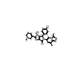 Cc1cc(N2C(=O)c3nc(C4=CCCN(C)C4)n(C(C)C)c3C2c2ccc(Cl)cc2)cn2c(C)nnc12